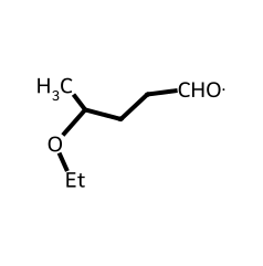 CCOC(C)CC[C]=O